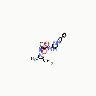 CC1CC(C)CN(c2nc(C(F)(F)F)c(C(=O)Nc3ccc(N4CCC(c5ccccc5)CC4)nc3)o2)C1